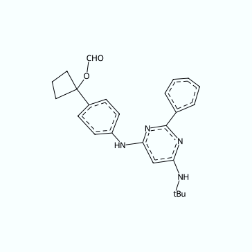 CC(C)(C)Nc1cc(Nc2ccc(C3(OC=O)CCC3)cc2)nc(-c2ccccc2)n1